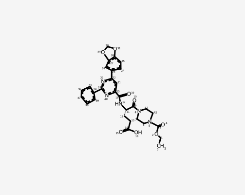 CCOC(=O)N1CCN(C(=O)[C@H](CCC(=O)O)NC(=O)c2cc(-c3ccc4c(c3)OCO4)nc(-c3ccccc3)n2)CC1